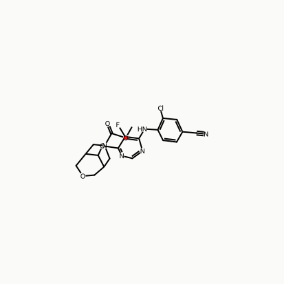 COC(=O)N1CC2COCC(C1)C2Oc1ncnc(Nc2ccc(C#N)cc2Cl)c1F